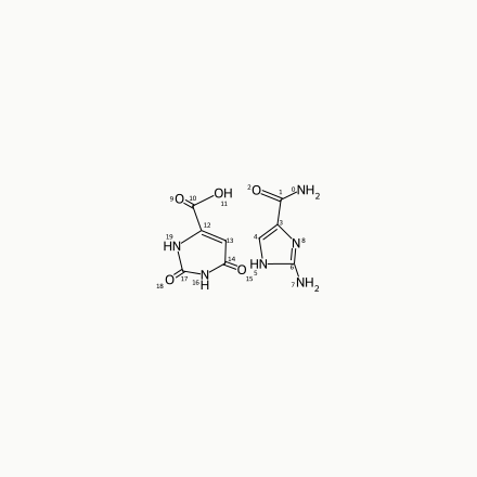 NC(=O)c1c[nH]c(N)n1.O=C(O)c1cc(=O)[nH]c(=O)[nH]1